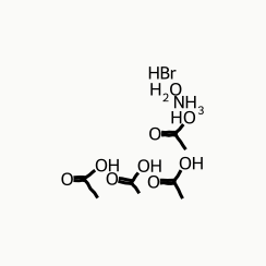 Br.CC(=O)O.CC(=O)O.CC(=O)O.CC(=O)O.N.O